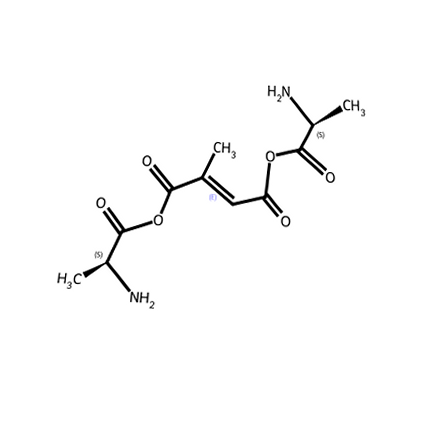 C/C(=C\C(=O)OC(=O)[C@H](C)N)C(=O)OC(=O)[C@H](C)N